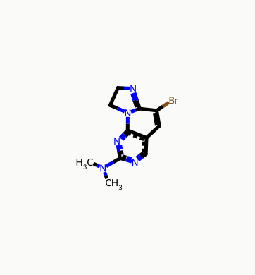 CN(C)c1ncc2c(n1)N1CCN=C1C(Br)=C2